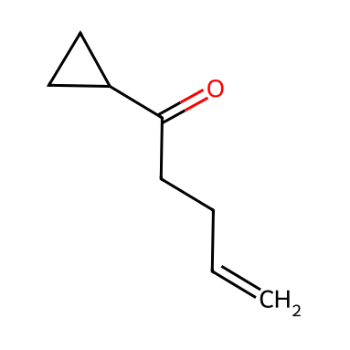 C=CCCC(=O)C1CC1